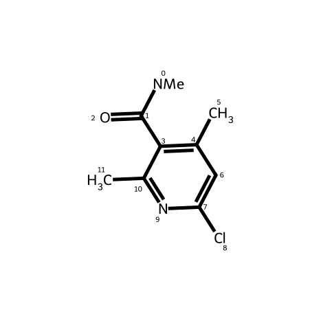 CNC(=O)c1c(C)cc(Cl)nc1C